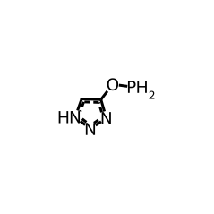 POc1c[nH]nn1